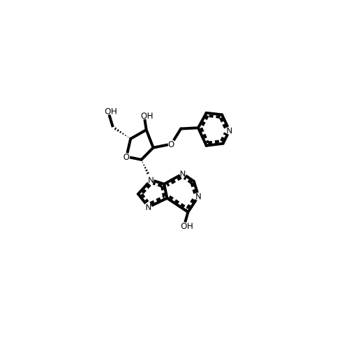 OC[C@H]1O[C@@H](n2cnc3c(O)ncnc32)C(OCc2ccncc2)C1O